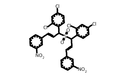 O=[N+]([O-])c1cccc(C=CC(c2ccc(Cl)cc2Cl)S(=O)(=O)C(C=Cc2cccc([N+](=O)[O-])c2)c2ccc(Cl)cc2Cl)c1